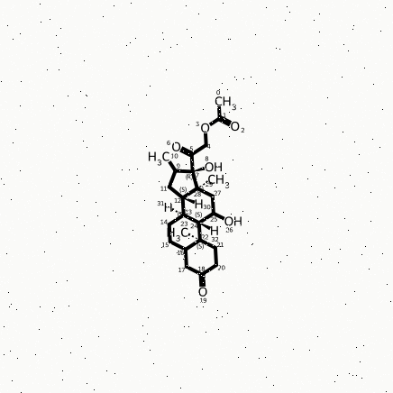 CC(=O)OCC(=O)[C@@]1(O)C(C)C[C@H]2[C@@H]3CCC4CC(=O)CC[C@]4(C)[C@H]3C(O)C[C@@]21C